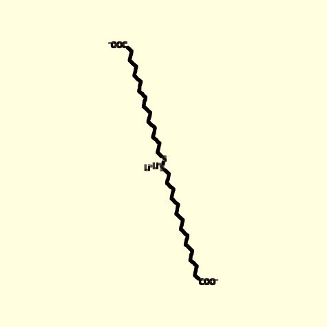 O=C([O-])CCCCCCCCCCCCCCSSCCCCCCCCCCCCCCC(=O)[O-].[Li+].[Li+]